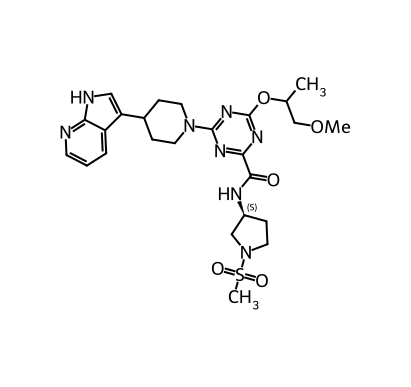 COCC(C)Oc1nc(C(=O)N[C@H]2CCN(S(C)(=O)=O)C2)nc(N2CCC(c3c[nH]c4ncccc34)CC2)n1